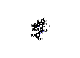 C/C(=C/C=C1/CC(O)C[C@H](O)C1)CCC[C@@]1(C)CCC=C1C1(C/C=C/C(O)(C(F)(F)F)C(F)(F)F)CC1